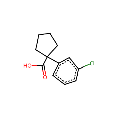 O=C(O)C1(c2cccc(Cl)c2)CCCC1